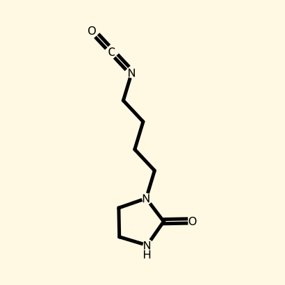 O=C=NCCCCN1CCNC1=O